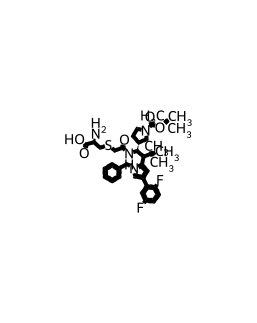 CC(C)(C)OC(=O)N1CC[C@@H](C(NC(=O)CSC[C@H](N)C(=O)O)C(c2cc(-c3cc(F)ccc3F)cn2Cc2ccccc2)C(C)(C)C)C1